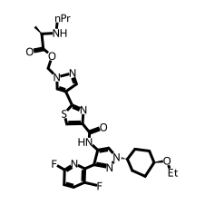 CCCN[C@H](C)C(=O)OCn1cc(-c2nc(C(=O)Nc3cn([C@H]4CC[C@H](OCC)CC4)nc3-c3nc(F)ccc3F)cs2)cn1